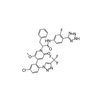 COc1cn(C(Cc2ccccc2)C(=O)Nc2ccc(-c3nn[nH]n3)c(F)c2)c(=O)cc1-c1cc(Cl)ccc1-n1cc(C(F)(F)F)nn1